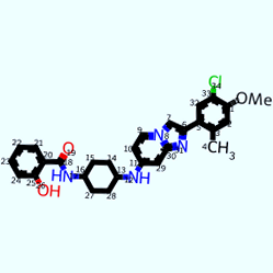 COc1cc(C)c(-c2cn3ccc(NC4CCC(NC(=O)c5ccccc5O)CC4)cc3n2)cc1Cl